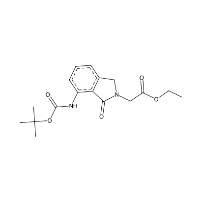 CCOC(=O)CN1Cc2cccc(NC(=O)OC(C)(C)C)c2C1=O